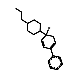 CCCC1CCC(C2(Br)C=CC(c3ccccc3)=CC2)CC1